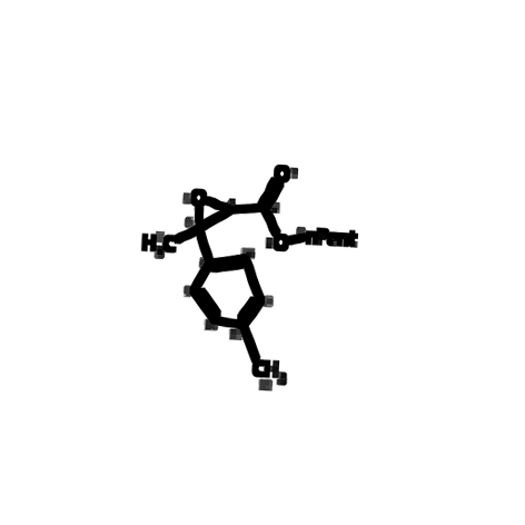 CCCCCOC(=O)C1OC1(C)c1ccc(C)cc1